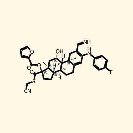 C[C@]12CC(C=N)=C(Nc3ccc(F)cc3)C=C1CC[C@@H]1[C@@H]2[C@@H](O)C[C@@]2(C)[C@H]1CC[C@]2(OC(=O)c1ccco1)C(=O)SCC#N